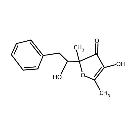 CC1=C(O)C(=O)C(C)(C(O)Cc2ccccc2)O1